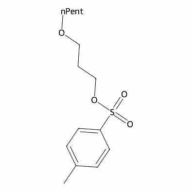 CCCCCOCCCOS(=O)(=O)c1ccc(C)cc1